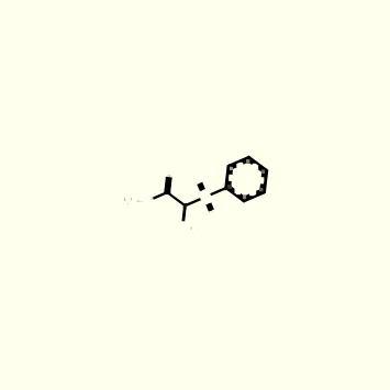 CCC(C)C(C(=O)OC)S(=O)(=O)c1ccccc1